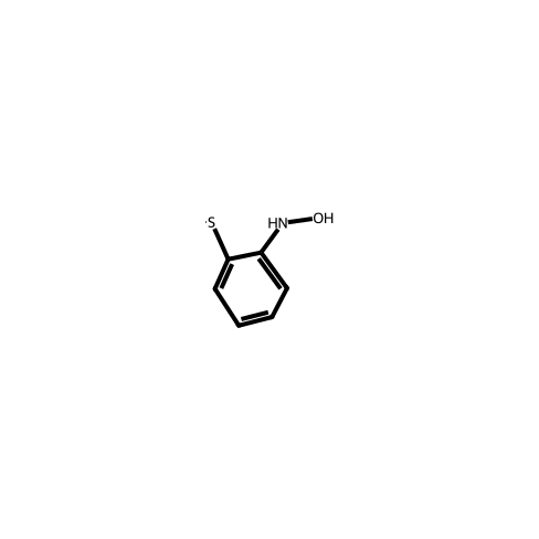 ONc1ccccc1[S]